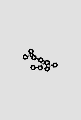 c1ccc(-c2cccc(-n3c4cc(-c5ccc6c(c5)c5ccccc5n6-c5ccccc5)ccc4c4ccc5c(c6ccccc6n5-c5ccccc5)c43)c2)cc1